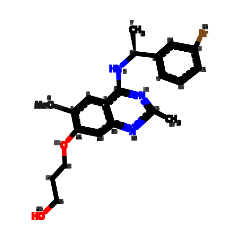 COc1cc2c(N[C@H](C)c3cccc(Br)c3)nc(C)nc2cc1OCCCO